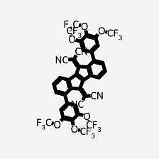 N#CC(C#N)=C1C2=C(C(=C(C#N)C#N)c3c2cccc3-c2cc(OC(F)(F)F)c(OC(F)(F)F)c(OC(F)(F)F)c2)c2cccc(-c3cc(OC(F)(F)F)c(OC(F)(F)F)c(OC(F)(F)F)c3)c21